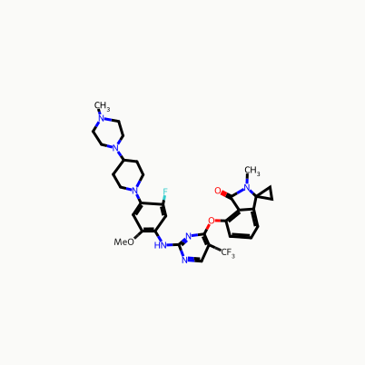 COc1cc(N2CCC(N3CCN(C)CC3)CC2)c(F)cc1Nc1ncc(C(F)(F)F)c(Oc2cccc3c2C(=O)N(C)C32CC2)n1